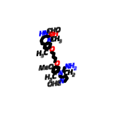 C=C(CN)N(CC1CCCN1C=O)c1cc(OCCCCCOc2cc3c(cc2C)CCCC(NC=O)C(O)N3C)c(OC)cc1C